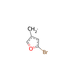 [CH2]c1coc(Br)c1